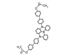 CC1OC1Oc1ccc(-c2ccc(N3c4ccccc4B4c5ccccc5N(c5ccc(-c6ccc(OC7OC7C)cc6)cc5)c5cccc3c54)cc2)cc1